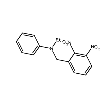 CCN(Cc1cccc([N+](=O)[O-])c1[N+](=O)[O-])c1ccccc1